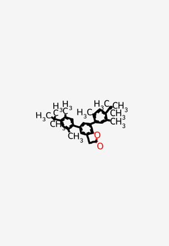 Cc1cc(C(C)(C)C)c(C)cc1-c1cc2c(c(-c3cc(C)c(C(C)(C)C)cc3C)c1)OC(=O)C2